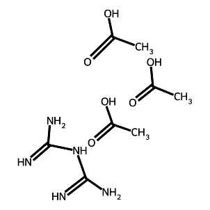 CC(=O)O.CC(=O)O.CC(=O)O.N=C(N)NC(=N)N